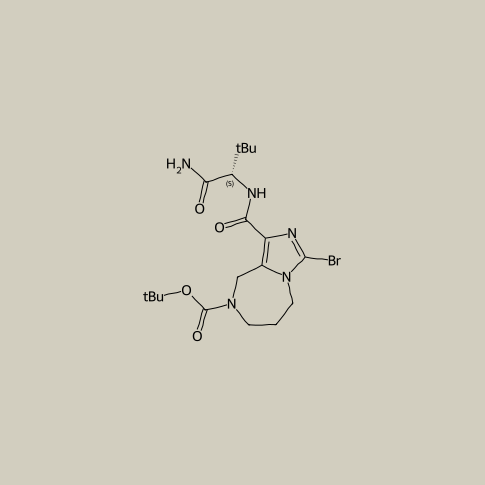 CC(C)(C)OC(=O)N1CCCn2c(Br)nc(C(=O)N[C@H](C(N)=O)C(C)(C)C)c2C1